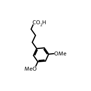 COc1cc(CCCC(=O)O)cc(OC)c1